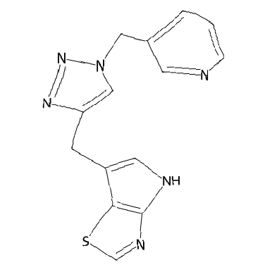 c1cncc(Cn2cc(Cc3c[nH]c4ncsc34)nn2)c1